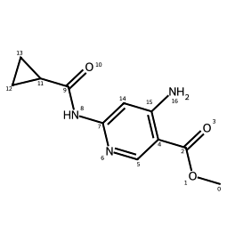 COC(=O)c1cnc(NC(=O)C2CC2)cc1N